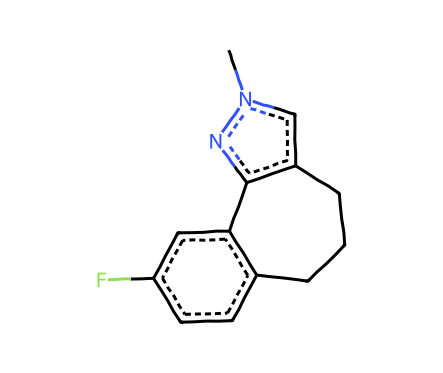 Cn1cc2c(n1)-c1cc(F)ccc1CCC2